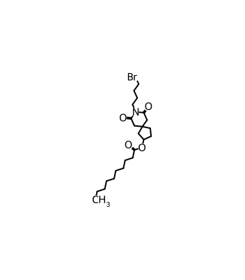 CCCCCCCCCC(=O)OC1CCC2(CC(=O)N(CCCCBr)C(=O)C2)C1